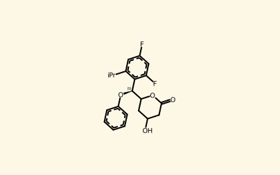 CC(C)c1cc(F)cc(F)c1[C@H](Oc1ccccc1)C1CC(O)CC(=O)O1